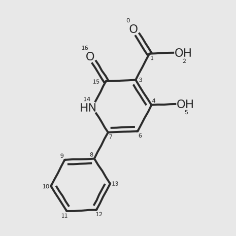 O=C(O)c1c(O)cc(-c2ccccc2)[nH]c1=O